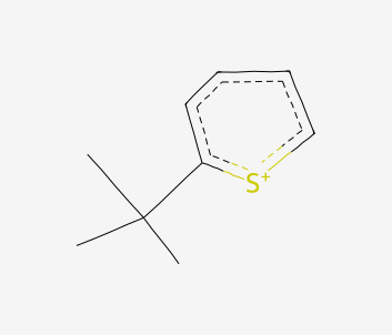 CC(C)(C)c1cccc[s+]1